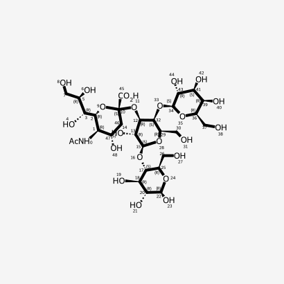 CC(=O)N[C@H]1[C@H]([C@H](O)[C@H](O)CO)O[C@@](O[C@@H]2[C@@H](O)[C@H](O[C@H]3[C@H](O)[C@@H](O)[C@H](O)O[C@@H]3CO)O[C@H](CO)[C@@H]2O[C@@H]2O[C@H](CO)[C@H](O)[C@H](O)[C@H]2O)(C(=O)O)C[C@@H]1O